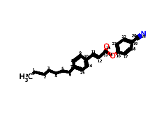 CCCCCCCc1ccc(C=CC(=O)Oc2ccc(C#N)cc2)cc1